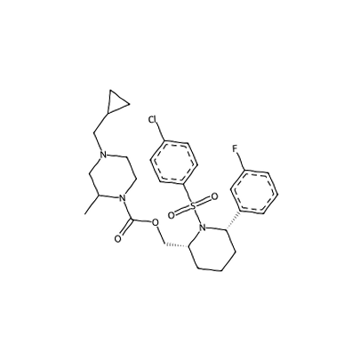 CC1CN(CC2CC2)CCN1C(=O)OC[C@H]1CCC[C@@H](c2cccc(F)c2)N1S(=O)(=O)c1ccc(Cl)cc1